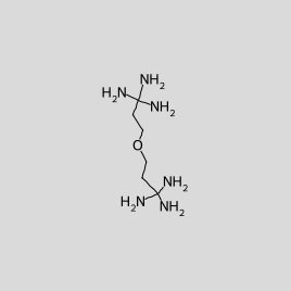 NC(N)(N)CCOCCC(N)(N)N